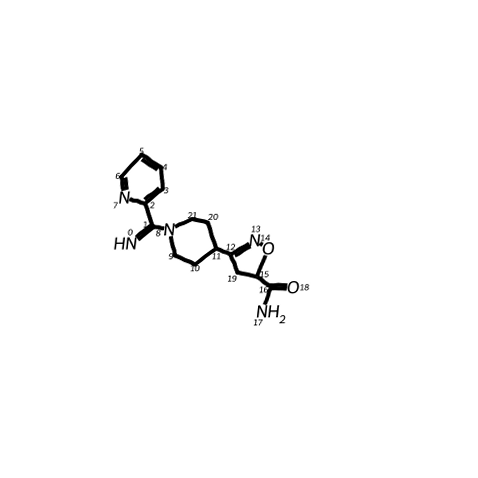 N=C(c1ccccn1)N1CCC(C2=NOC(C(N)=O)C2)CC1